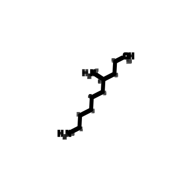 NCCCCCC(N)CCO